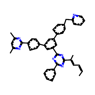 C/C=C\C=C(/C)c1nc(-c2ccccc2)nc(-c2cc(-c3ccc(Cc4ccccn4)cc3)cc(-c3ccc(-c4nc(C)cc(C)n4)cc3)c2)n1